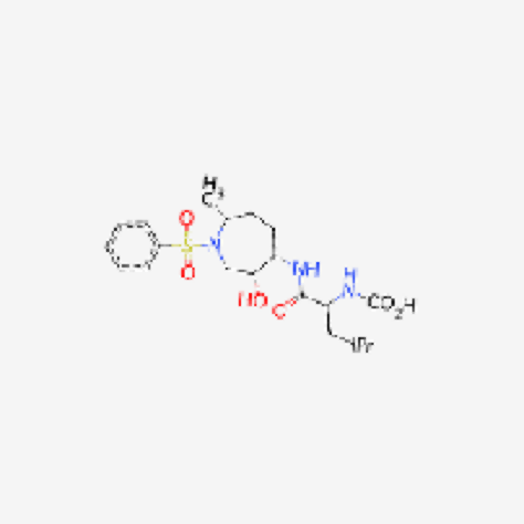 CC(C)C[C@H](NC(=O)O)C(=O)N[C@H]1CC[C@@H](C)N(S(=O)(=O)c2ccccc2)C[C@H]1O